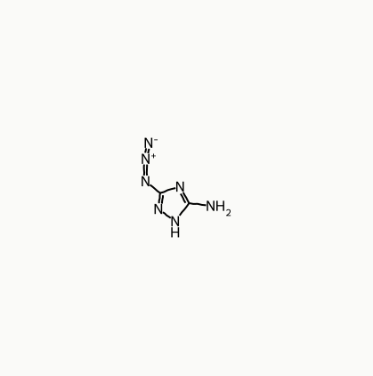 [N-]=[N+]=Nc1n[nH]c(N)n1